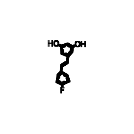 Oc1cc(O)cc(C=Cc2ccc(F)cc2)c1